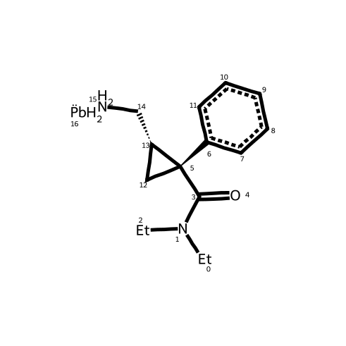 CCN(CC)C(=O)[C@]1(c2ccccc2)C[C@@H]1CN.[PbH2]